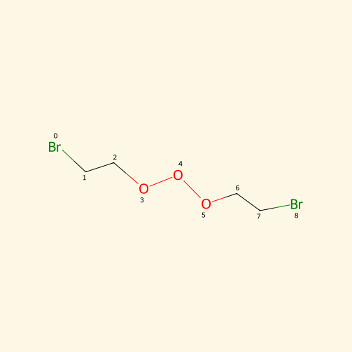 BrCCOOOCCBr